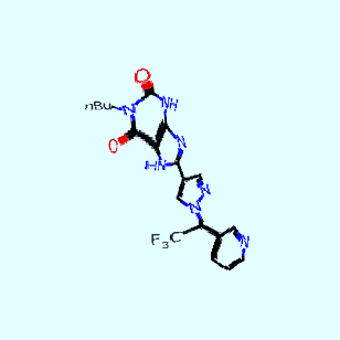 CCCCn1c(=O)[nH]c2nc(-c3cnn(C(c4cccnc4)C(F)(F)F)c3)[nH]c2c1=O